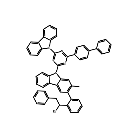 CCC(Cc1ccccc1)c1ccccc1-c1cc2c3ccccc3n(-c3nc(-c4ccc(-c5ccccc5)cc4)nc(-n4c5ccccc5c5ccccc54)n3)c2cc1C